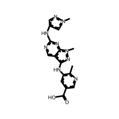 Cc1ncc(C(=O)O)cc1Nc1nn(C)c2nc(Nc3cnn(C)c3)ncc12